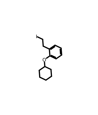 ICCc1ccccc1OC1CCCCC1